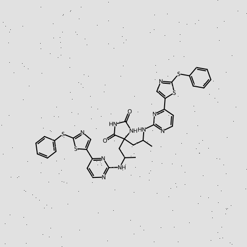 CC(CC1(CC(C)Nc2nccc(-c3cnc(Sc4ccccc4)s3)n2)NC(=O)NC1=O)Nc1nccc(-c2cnc(Sc3ccccc3)s2)n1